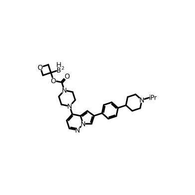 BC1(OC(=O)N2CCN(c3ccnn4cc(-c5ccc(C6CCN(C(C)C)CC6)cc5)cc34)CC2)COC1